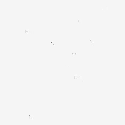 Cl.NC(=O)c1cc(-c2cccnc2)ccc1N1CC[C@H](Oc2ncccc2Cl)C1